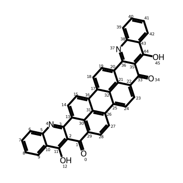 O=C1c2c(nc3ccccc3c2O)-c2ccc3c4ccc5c6c(ccc(c7ccc1c2c73)c64)C(=O)c1c-5nc2ccccc2c1O